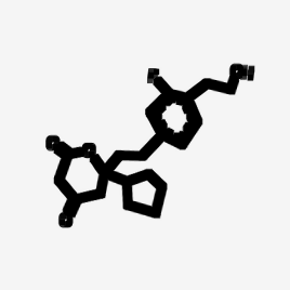 O=C1CC(=O)OC(CCc2ccc(CCO)c(F)c2)(C2CCCC2)C1